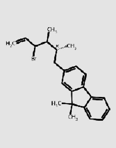 C=CC(Br)C(C)[C@H](C)Cc1ccc2c(c1)C(C)(C)c1ccccc1-2